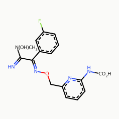 CN(O)C(=N)C(=NOCc1cccc(NC(=O)O)n1)c1cccc(F)c1